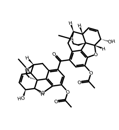 CC(=O)Oc1cc(C(=O)c2cc(OC(C)=O)c3c4c2C[C@@H]2[C@@H]5C=C[C@H](O)[C@H](O3)[C@]45CCN2C)c2c3c1O[C@H]1[C@@H](O)C=C[C@H]4[C@@H](C2)N(C)CC[C@@]341